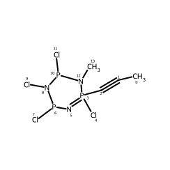 CC#CP1(Cl)=NP(Cl)N(Cl)P(Cl)N1C